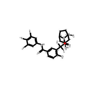 O=C(Nc1cc(F)c(F)c(F)c1)c1ccc(Cl)c(C(F)(F)C(=O)N2C3CC[C@@H]2C[C@@H](O)C3)c1